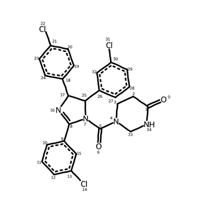 O=C1CCN(C(=O)N2C(c3cccc(Cl)c3)=NC(c3ccc(Cl)cc3)C2c2cccc(Cl)c2)CN1